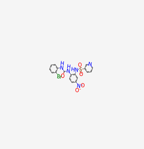 O=C(Nc1ccccc1Br)Nc1ccc([N+](=O)[O-])cc1NS(=O)(=O)c1cccnc1